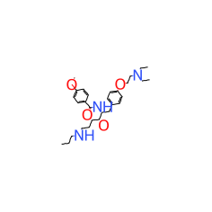 CCCNCCCC(=O)C(Cc1ccc(OCCN(CC)CC)cc1)NC(=O)c1ccc(OC)cc1